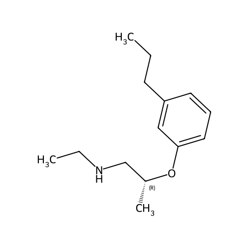 CCCc1cccc(O[C@H](C)CNCC)c1